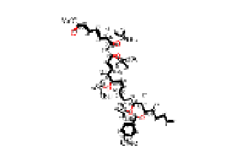 C=CC=C[C@H](C)[C@H](OCc1ccc(OC)cc1)[C@@H](C)[C@H](CC[C@H](C)C[C@@H](C)[C@@H](O[Si](C)(C)C(C)(C)C)[C@@H](C)C=C[C@H](C[C@H](O[Si](C)(C)C(C)(C)C)[C@@H](C)C=CC=CC(=O)OC)O[Si](C)(C)C(C)(C)C)O[Si](C)(C)C(C)(C)C